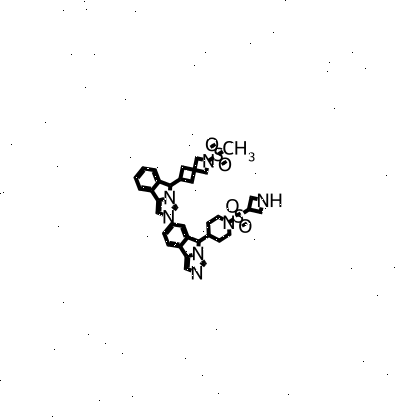 CS(=O)(=O)N1CC2(CC(C3c4ccccc4-c4cncn43)C2)C1.O=S(=O)(C1CNC1)N1CCC(C2c3ccccc3-c3cncn32)CC1